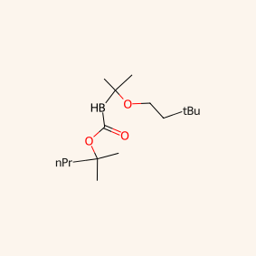 CCCC(C)(C)OC(=O)BC(C)(C)OCCC(C)(C)C